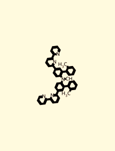 Cc1ccccc1-c1cc(-c2cccc(-c3ccccn3)n2)ccc1N(C)c1ccc(-c2cccc(-c3ccccn3)n2)cc1-c1ccccc1C